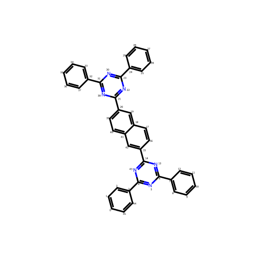 c1ccc(-c2nc(-c3ccccc3)nc(-c3ccc4cc(-c5nc(-c6ccccc6)nc(-c6ccccc6)n5)ccc4c3)n2)cc1